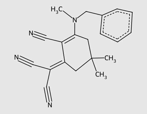 CN(Cc1ccccc1)C1=C(C#N)C(=C(C#N)C#N)CC(C)(C)C1